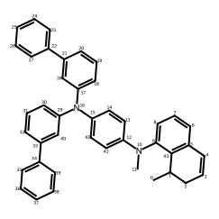 CC1CC=Cc2cccc(N(C)c3ccc(N(c4cccc(-c5ccccc5)c4)c4cccc(-c5ccccc5)c4)cc3)c21